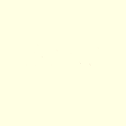 c1ccc(-c2nc(-c3cccc(-c4ccc5c(c4)Oc4ccccc4C5(c4ccccc4)c4ccccc4)c3)c3ccccc3n2)cc1